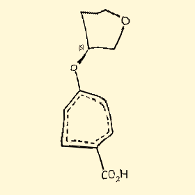 O=C(O)c1ccc(O[C@H]2CCOC2)cc1